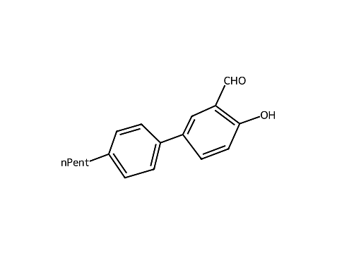 CCCCCc1ccc(-c2ccc(O)c(C=O)c2)cc1